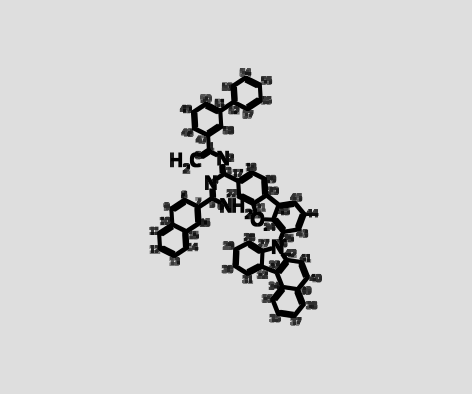 C=C(/N=C(\N=C(/N)c1ccc2ccccc2c1)c1ccc2c(c1)oc1c(-n3c4ccccc4c4c5ccccc5ccc43)cccc12)c1cccc(-c2ccccc2)c1